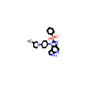 N#CC1CCN(C2CCC(n3c(S(=O)(=O)c4ccccc4)nc4cnc5[nH]ccc5c43)CC2)C1